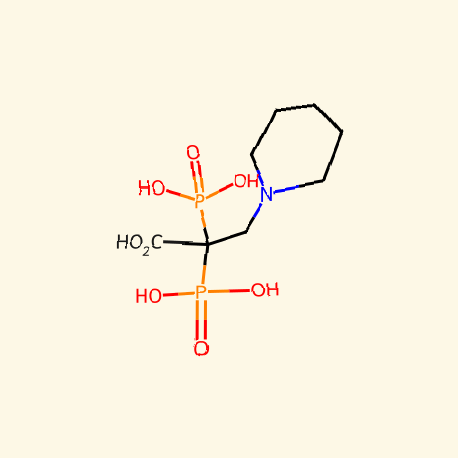 O=C(O)C(CN1CCCCC1)(P(=O)(O)O)P(=O)(O)O